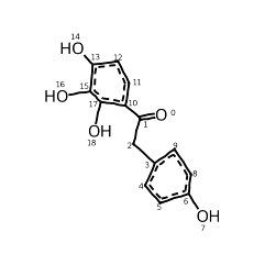 O=C(Cc1ccc(O)cc1)c1ccc(O)c(O)c1O